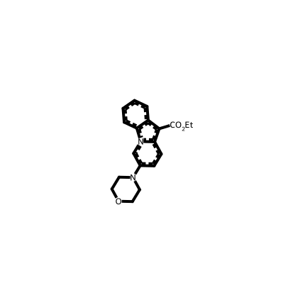 CCOC(=O)c1c2ccccc2n2cc(N3CCOCC3)ccc12